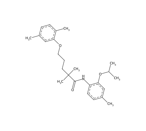 Cc1ccc(C)c(OCCCC(C)(C)C(=O)Nc2ccc(C)cc2OC(C)C)c1